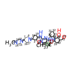 COc1cc(N2CCC(N3CCN(C)CC3)CC2)ccc1Nc1ncc(Cl)c(Nc2ccccc2-c2c(OC)ccc(C=O)c2O)n1